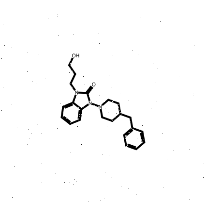 O=c1n(CCCO)c2ccccc2n1N1CCC(Cc2ccccc2)CC1